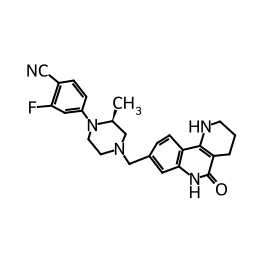 C[C@H]1CN(Cc2ccc3c4c(c(=O)[nH]c3c2)CCCN4)CCN1c1ccc(C#N)c(F)c1